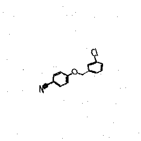 N#Cc1ccc(OCc2cccc(Cl)c2)cc1